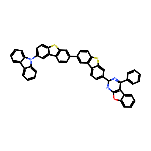 c1ccc(C2=NC(c3ccc4c(c3)sc3ccc(-c5ccc6c(c5)sc5ccc(-n7c8ccccc8c8ccccc87)cc56)cc34)Nc3oc4ccccc4c32)cc1